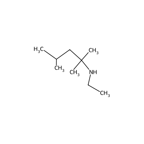 CCNC(C)(C)CC(C)C